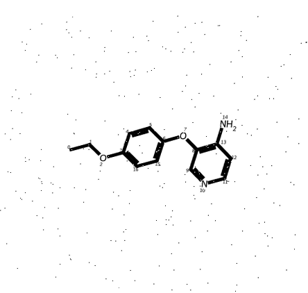 CCOc1ccc(Oc2cnccc2N)cc1